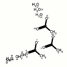 CC(=O)[O-].CC(=O)[O-].CC(=O)[O-].O.O.O.O.O.O.[Sm+3]